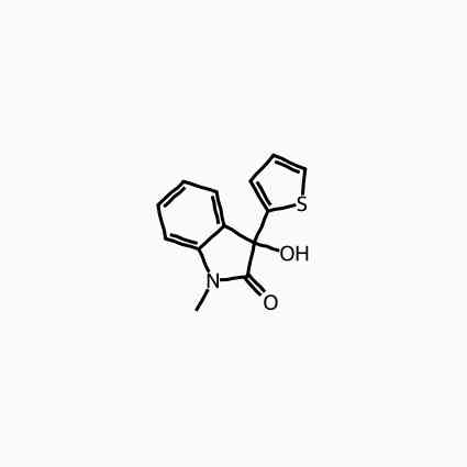 CN1C(=O)C(O)(c2cccs2)c2ccccc21